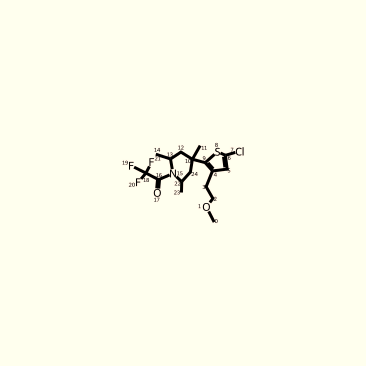 COCCc1cc(Cl)sc1C1(C)CC(C)N(C(=O)C(F)(F)F)C(C)C1